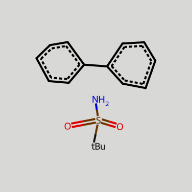 CC(C)(C)S(N)(=O)=O.c1ccc(-c2ccccc2)cc1